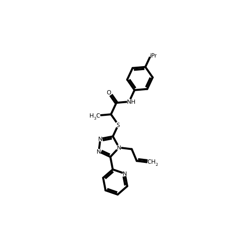 C=CCn1c(SC(C)C(=O)Nc2ccc(C(C)C)cc2)nnc1-c1ccccn1